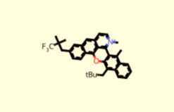 Cc1c2c(c(CC(C)(C)C)c3ccccc13)Oc1c3ccc(CC(C)(C)C(F)(F)F)cc3cc3cc[n+](C)c-2c13